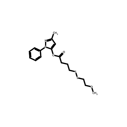 COCCSSCCCC(=O)Oc1cc(C)nn1-c1ccccc1